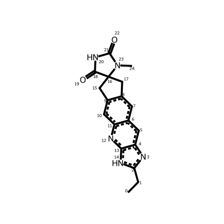 CCc1nc2cc3cc4c(cc3nc2[nH]1)CC1(C4)C(=O)NC(=O)N1C